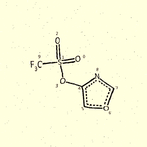 O=S(=O)(Oc1cocn1)C(F)(F)F